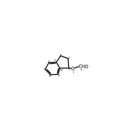 O=COC1CCc2ccccc21